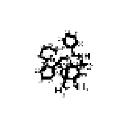 CCCCOC(CN1c2ccc(N)cc2C(=O)NC1c1ccccc1)(c1ccccc1)N1CCCCC1